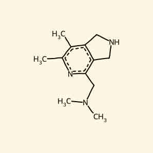 Cc1nc(CN(C)C)c2c(c1C)CNC2